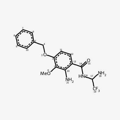 COc1c(OCc2ccccc2)ccc(C(=O)NC(N)C(F)(F)F)c1N